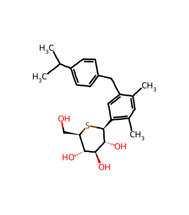 Cc1cc(C)c([C@@H]2S[C@H](CO)[C@@H](O)[C@H](O)[C@H]2O)cc1Cc1ccc(C(C)C)cc1